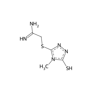 Cn1c(S)nnc1SCC(=N)N